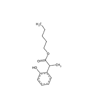 CCCCCOC(=O)C(C)c1ccccc1O